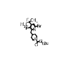 CC(C)(C)OC(=O)N1CCC(Cc2nc(Br)cc(C(C)(C)F)c2F)CC1